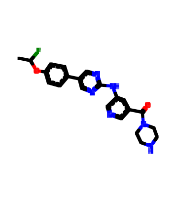 CC(F)Oc1ccc(-c2cnc(Nc3cncc(C(=O)N4CCNCC4)c3)nc2)cc1